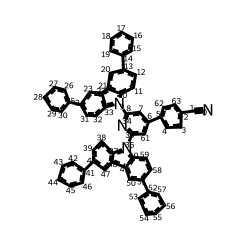 N#Cc1ccc(-c2cc(-n3c4ccc(-c5ccccc5)cc4c4cc(-c5ccccc5)ccc43)nc(-n3c4ccc(-c5ccccc5)cc4c4cc(-c5ccccc5)ccc43)c2)cc1